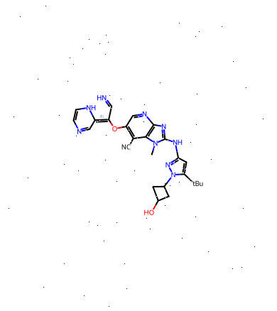 Cn1c(Nc2cc(C(C)(C)C)n(C3CC(O)C3)n2)nc2ncc(O/C(C=N)=C3\C=NC=CN3)c(C#N)c21